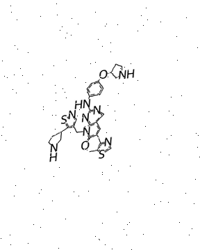 Cc1scnc1-c1cc2cnc(Nc3ccc(OC4CCNC4)cc3)nc2n(Cc2cnsc2C2CCNC2)c1=O